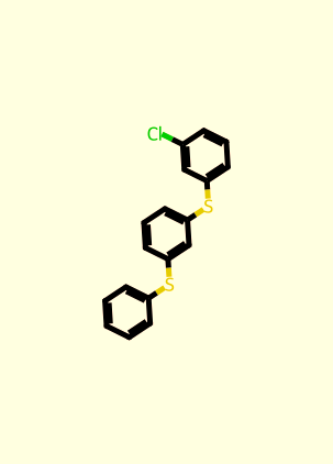 Clc1cccc(Sc2cccc(Sc3ccccc3)c2)c1